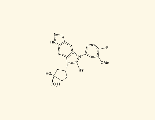 COc1cc(-n2c(C(C)C)c([C@@H]3CC[C@@](O)(C(=O)O)C3)c3nc4[nH]ncc4cc32)ccc1F